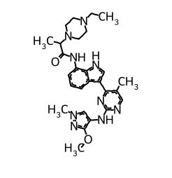 CCN1CCN(C(C)C(=O)Nc2cccc3c(-c4nc(Nc5cn(C)nc5OC)ncc4C)c[nH]c23)CC1